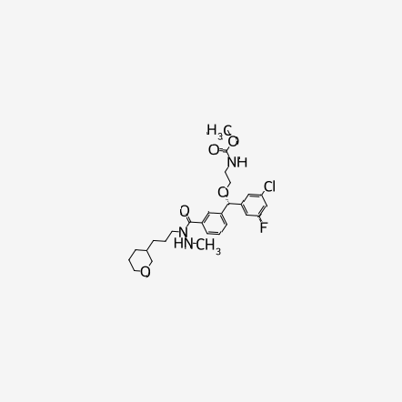 CNN(CCCC1CCCOC1)C(=O)c1cccc([C@H](OCCNC(=O)OC)c2cc(F)cc(Cl)c2)c1